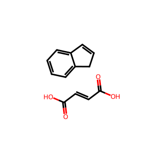 C1=Cc2ccccc2C1.O=C(O)/C=C/C(=O)O